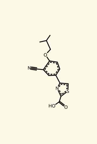 CC(C)COc1ccc(-c2csc(C(=O)O)n2)cc1C#N